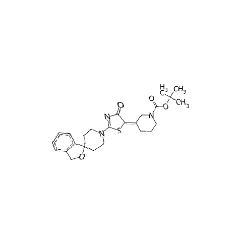 CC(C)(C)OC(=O)N1CCC/C(=C2\SC(N3CCC4(CC3)OCc3ccccc34)=NC2=O)C1